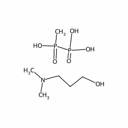 CN(C)CCCO.CP(=O)(O)P(=O)(O)O